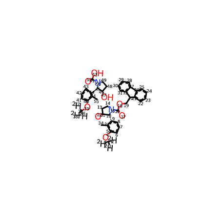 [2H]C([2H])([2H])Oc1cccc([C@@H]2C(=O)CCN2C(=O)OCC2c3ccccc3-c3ccccc32)c1C.[2H]C([2H])([2H])Oc1cccc([C@@H]2[C@H](O)CCN2C(=O)O)c1C